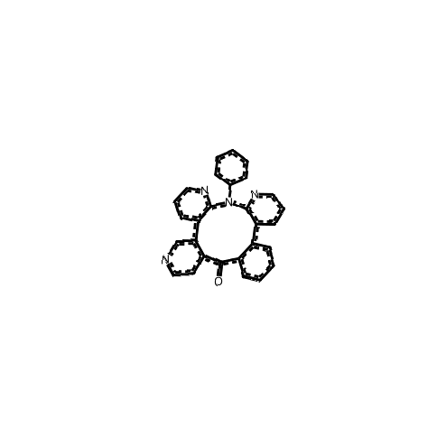 O=c1c2ccccc2c2cccnc2n(-c2ccccc2)c2ncccc2c2cnccc12